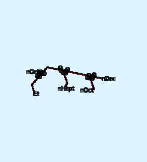 CC/C=C/C/C=C/C/C=C\CCCCCCCC(=O)OC(COC(=O)CCCC/C=C\CCCCCCCCCC(=O)OCC(COC(=O)CCCCCCC/C=C/CCCCCCCC(=O)OC(COC(=O)CCCCCCCCCCCCCCCCC)OC(=O)CCCCCCC/C=C\CCCCCCCC)OC(=O)CCCC/C=C/C/C=C\C/C=C/CCCCCCC)OC(=O)CCCCCCCC